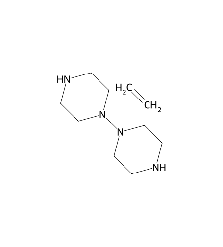 C1CN(N2CCNCC2)CCN1.C=C